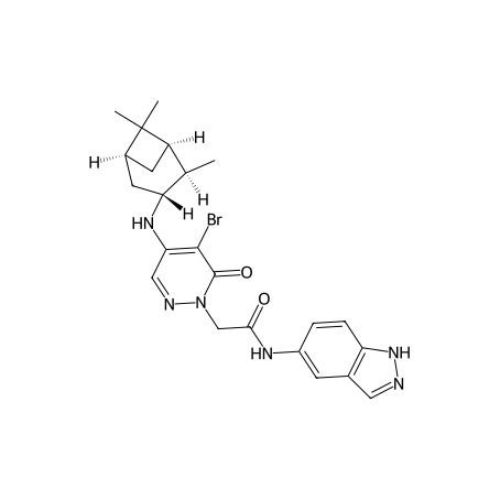 C[C@@H]1[C@H]2C[C@@H](C[C@H]1Nc1cnn(CC(=O)Nc3ccc4[nH]ncc4c3)c(=O)c1Br)C2(C)C